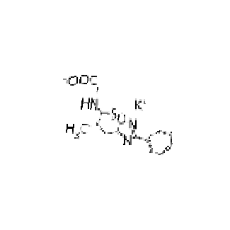 C[C@@H](Cc1nc(-c2ccccc2)no1)C(=S)NCC(=O)[O-].[K+]